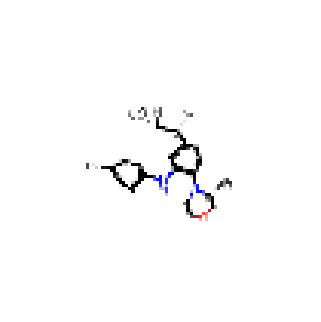 CC[C@@H](CC(=O)O)c1ccc(N2CCOC[C@@H]2C(C)C)c(Nc2ccc(C#N)cc2)c1